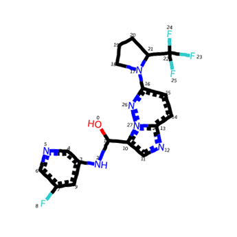 OC(Nc1cncc(F)c1)c1cnc2ccc(N3CCCC3C(F)(F)F)nn12